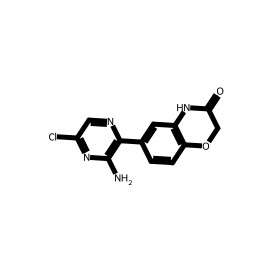 Nc1nc(Cl)cnc1-c1ccc2c(c1)NC(=O)CO2